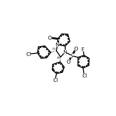 O=c1cccc2n1[C@@H](c1ccc(Cl)cc1)[C@@H](c1ccc(Cl)cc1)N2S(=O)(=O)c1cc(Cl)ccc1F